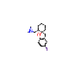 CN(C)CC1CCCCC12Cc1cc(I)ccc1O2